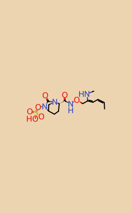 C/C=C\C=C(\CONC(=O)[C@@H]1CCC2CN1C(=O)N2OS(=O)(=O)O)NC